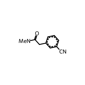 CNC(=O)Cc1cccc(C#N)c1